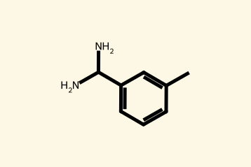 Cc1cccc(C(N)N)c1